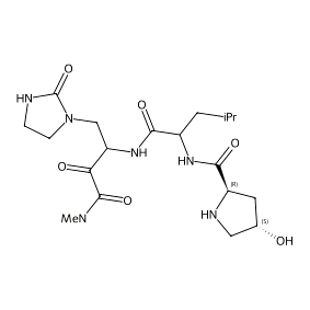 CNC(=O)C(=O)C(CN1CCNC1=O)NC(=O)C(CC(C)C)NC(=O)[C@H]1C[C@H](O)CN1